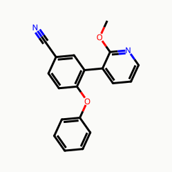 COc1ncccc1-c1cc(C#N)ccc1Oc1ccccc1